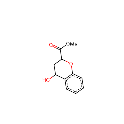 COC(=O)C1CC(O)c2ccccc2O1